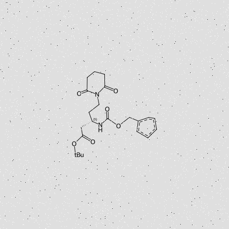 CC(C)(C)OC(=O)C[C@H](CCN1C(=O)CCCC1=O)NC(=O)OCc1ccccc1